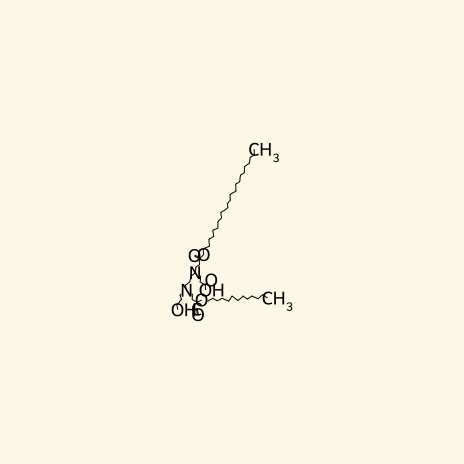 CCCCCCCCCCCCCCCCCCCCCCCOC(=O)CCN(CCCN(CCCO)CCC(=C=O)OCCCCCCCCCCCCC)CCC(=O)O